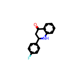 O=C1CC(c2ccc(F)cc2)Nc2ccccc21